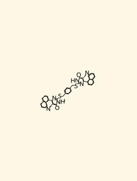 N#Cc1c(-c2cccc3ccccc23)nc(SCc2ccc(CSc3nc(-c4cccc5ccccc45)c(C#N)c(=O)[nH]3)cc2)[nH]c1=O